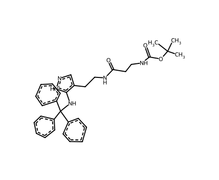 CC(C)(C)OC(=O)NCCC(=O)NCCc1cn[nH]c1NC(c1ccccc1)(c1ccccc1)c1ccccc1